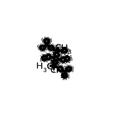 Cc1c(C)n(-c2ccc(N(c3ccccc3)c3ccccc3)cc2)c2cc3c(-c4ccc5ccccc5c4)c4cc5c(-c6ccccc6)c(C)n(-c6ccc(N(c7ccccc7)c7ccccc7)cc6)c5cc4c(-c4ccc5ccccc5c4)c3cc12